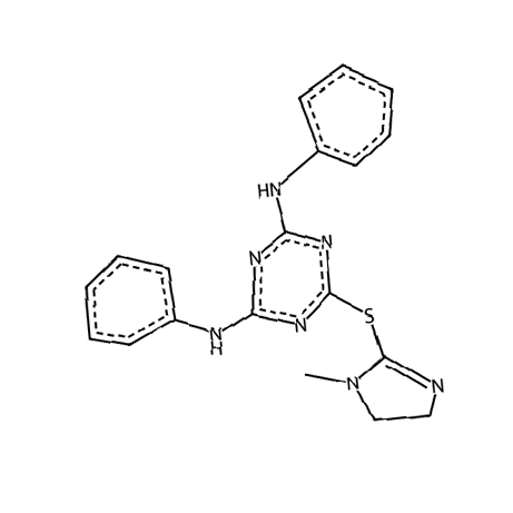 CN1CCN=C1Sc1nc(Nc2ccccc2)nc(Nc2ccccc2)n1